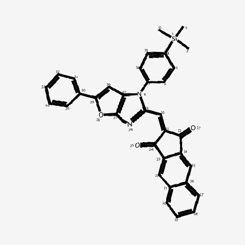 C[Si](C)(C)c1ccc(-n2c(C=C3C(=O)c4cc5ccccc5cc4C3=O)nc3oc(-c4ccccc4)cc32)cc1